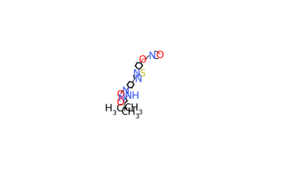 CC(C)(C)c1cc(NN(C=O)c2ccc(-c3cn4c(n3)sc3cc(OCCN5CCOCC5)ccc34)cc2)no1